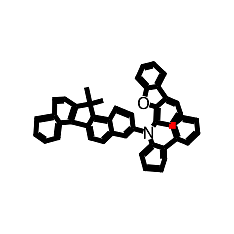 CC1(C)c2ccc3ccccc3c2-c2ccc3cc(N(c4ccccc4-c4ccccc4)c4cccc5c4oc4ccccc45)ccc3c21